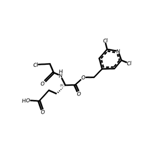 O=C(O)CC[C@H](NC(=O)CCl)C(=O)OCc1cc(Cl)nc(Cl)c1